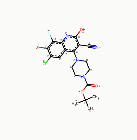 CC(C)(C)OC(=O)N1CCN(c2c(C#N)c(O)nc3c(F)c(Br)c(Cl)cc23)CC1